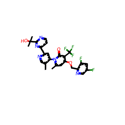 Cc1cnc(-c2ccnc(C(C)(C)O)n2)cc1-n1c(C)cc(OCc2ncc(F)cc2F)c(C(F)(F)F)c1=O